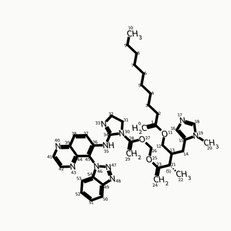 C=C(CCCCCCCCC)OCC(Cc1cncn1C)[C@H](C)C(=C)OCOC(=C)N1CCN=C1Nc1ccc2nccnc2c1-n1nnc2ccccc21